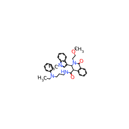 CCN(CCCNC(=O)C1c2ccccc2C(=O)N(CCOC)C1c1cn(C)c2ccccc12)c1ccccc1